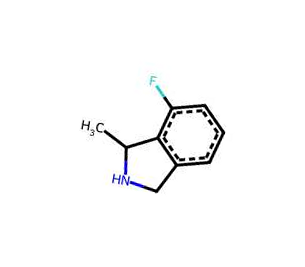 CC1NCc2cccc(F)c21